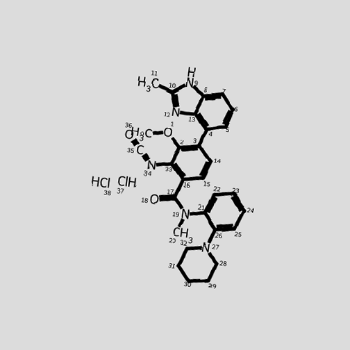 COc1c(-c2cccc3[nH]c(C)nc23)ccc(C(=O)N(C)c2ccccc2N2CCCCC2)c1N=C=O.Cl.Cl